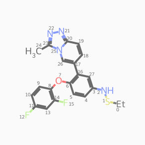 CCSNc1ccc(Oc2ccc(F)cc2F)c(-c2ccc3nnc(C)n3c2)c1